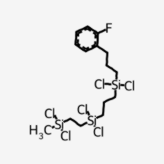 C[Si](Cl)(Cl)CC[Si](Cl)(Cl)CCC[Si](Cl)(Cl)CCCc1ccccc1F